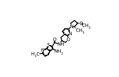 CO[C@H]1CCN(c2ccc3c(n2)OC[C@H](NC(=O)c2sc4nc(C)ccc4c2N)C3)[C@H]1C